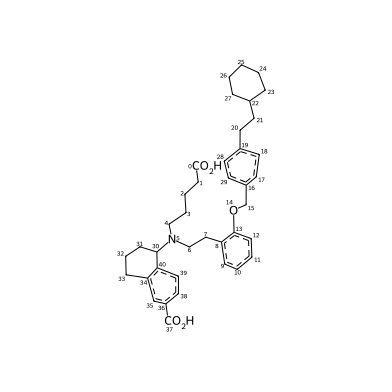 O=C(O)CCCCN(CCc1ccccc1OCc1ccc(CCC2CCCCC2)cc1)C1CCCc2cc(C(=O)O)ccc21